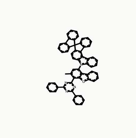 Cc1cc(-n2c3ccccc3c3c4c(ccc32)C2(c3ccccc3-c3ccccc32)c2ccccc2-4)c2c(oc3ccccc32)c1-c1nc(-c2ccccc2)nc(-c2ccccc2)n1